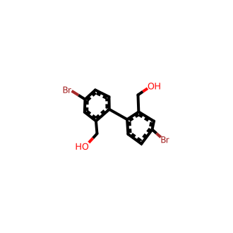 OCc1cc(Br)ccc1-c1ccc(Br)cc1CO